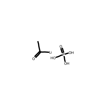 O=P(O)(O)O.[Li][C](C)=O